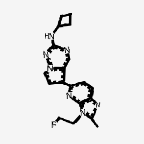 Cc1nc2ccc(-c3ccn4nc(NC5CCC5)ncc34)nc2n1CCF